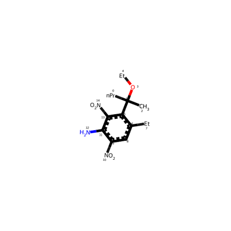 CCCC(C)(OCC)c1c(CC)cc([N+](=O)[O-])c(N)c1[N+](=O)[O-]